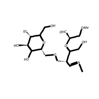 CC[C@@H]1C(CO)O[C@H](COC[C@@H](C=NC)C(CO)O[C@@H](C=O)COC)C(O)[C@H]1O